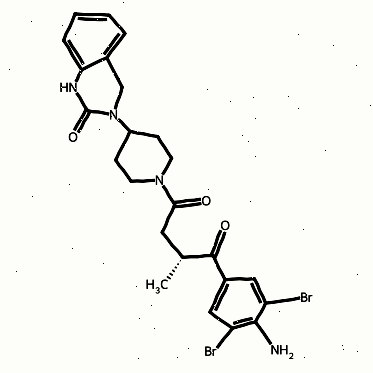 C[C@H](CC(=O)N1CCC(N2Cc3ccccc3NC2=O)CC1)C(=O)c1cc(Br)c(N)c(Br)c1